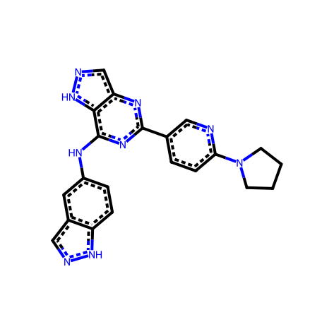 c1cc2[nH]ncc2cc1Nc1nc(-c2ccc(N3CCCC3)nc2)nc2cn[nH]c12